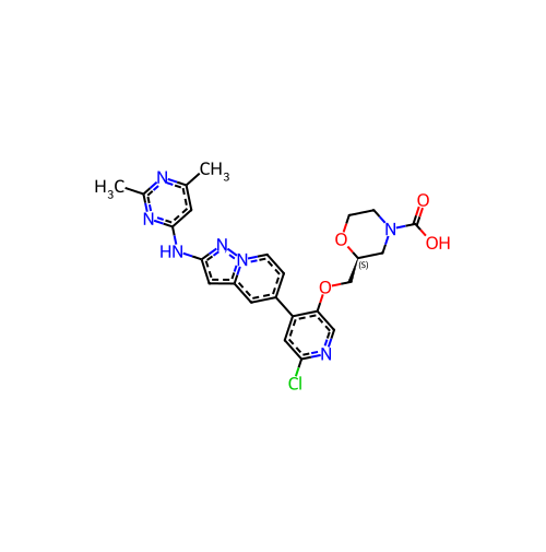 Cc1cc(Nc2cc3cc(-c4cc(Cl)ncc4OC[C@@H]4CN(C(=O)O)CCO4)ccn3n2)nc(C)n1